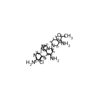 CC1OCC2(CCN(c3cc(N)c(Sc4ccnc(N)c4Cl)c4nncn34)CC2)C1N